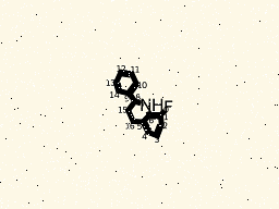 Fc1cccc2c1NC(c1ccccc1)CC2